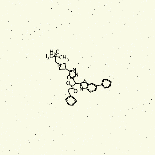 CC(C)(C)CN1CC(c2nnc(C(c3nc4ccc(-c5ccccc5)cc4s3)S(=O)(=O)Cc3ccccc3)o2)C1